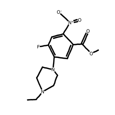 CCN1CCN(c2cc(C(=O)OC)c([N+](=O)[O-])cc2F)CC1